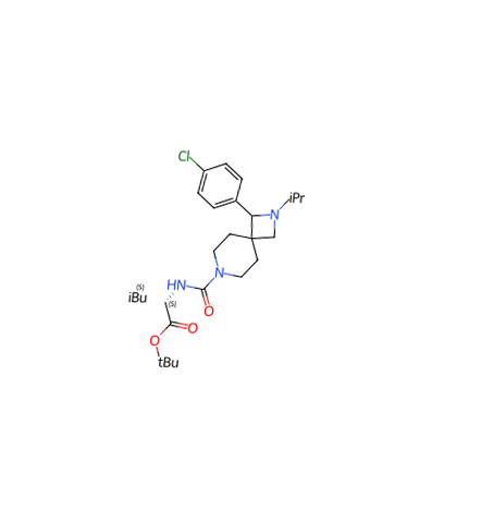 CC[C@H](C)[C@H](NC(=O)N1CCC2(CC1)CN(C(C)C)C2c1ccc(Cl)cc1)C(=O)OC(C)(C)C